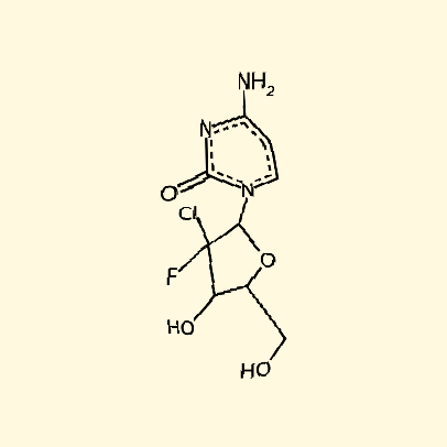 Nc1ccn(C2OC(CO)C(O)C2(F)Cl)c(=O)n1